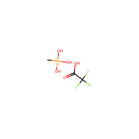 C[PH](O)(O)O.O=C(O)C(F)(F)F